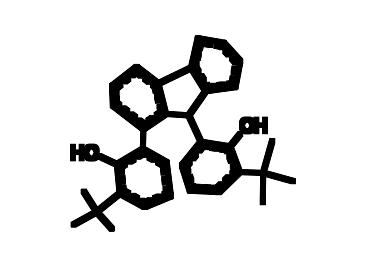 CC(C)(C)c1cccc(-c2cccc3c2C(c2cccc(C(C)(C)C)c2O)c2ccccc2-3)c1O